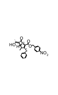 CC1C(Sc2ccccc2)=C(C(=O)OCc2ccc([N+](=O)[O-])cc2)N2C(=O)[C@H]([C@@H](C)O)[C@@H]12